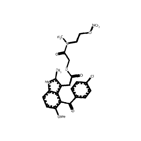 COc1ccc2[nH]c(C)c(CC(=O)OCC(=O)N(C)CCO[N+](=O)[O-])c2c1C(=O)c1ccc(Cl)cc1